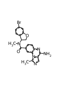 Cc1ncc2c(N)nc3ccc(C(=O)N(C)C4COc5cc(Br)ccc54)cc3n12